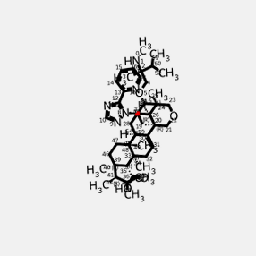 CN[C@@](C)(CO[C@H]1[C@H](n2ncnc2-c2ccccn2)C[C@@]23COC[C@]1(C)[C@@H]2CC[C@H]1C3=CC[C@@]2(C)[C@H](C(=O)O)[C@@](C)([C@H](C)C(C)C)CC[C@]12C)C(C)C